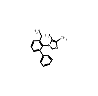 CC1=C(C)N(c2c(CN)cccc2-c2ccccc2)CS1